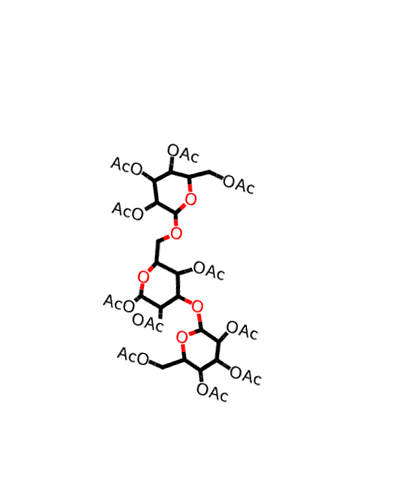 CC(=O)OCC1OC(OCC2OC(OC(C)=O)C(OC(C)=O)C(OC3OC(COC(C)=O)C(OC(C)=O)C(OC(C)=O)C3OC(C)=O)C2OC(C)=O)C(OC(C)=O)C(OC(C)=O)C1OC(C)=O